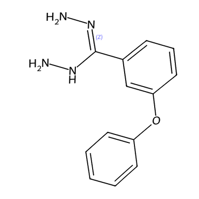 N/N=C(\NN)c1cccc(Oc2ccccc2)c1